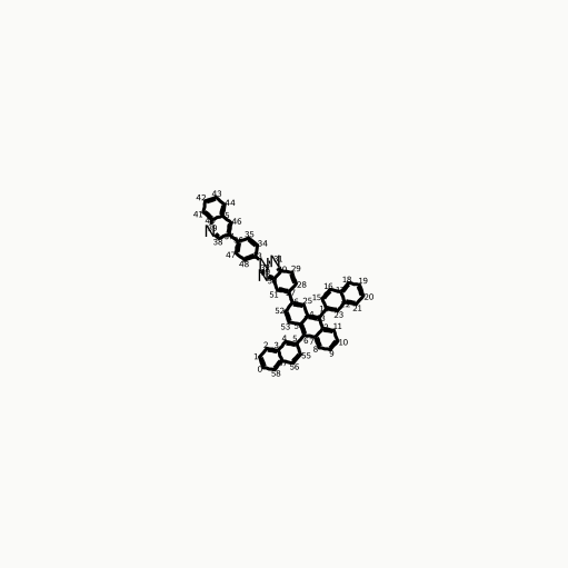 c1ccc2cc(-c3c4ccccc4c(-c4ccc5ccccc5c4)c4cc(-c5ccc6nn(-c7ccc(-c8cnc9ccccc9c8)cc7)nc6c5)ccc34)ccc2c1